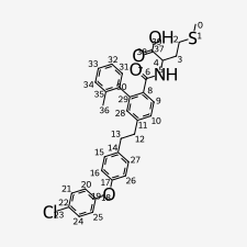 CSCCC(NC(=O)c1ccc(CCc2ccc(Oc3ccc(Cl)cc3)cc2)cc1-c1ccccc1C)C(=O)O